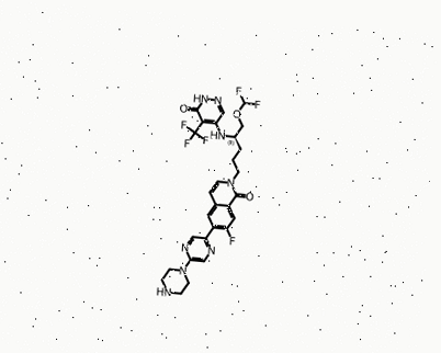 O=c1[nH]ncc(N[C@H](CCCn2ccc3cc(-c4cnc(N5CCNCC5)cn4)c(F)cc3c2=O)COC(F)F)c1C(F)(F)F